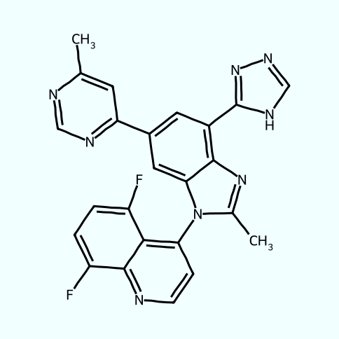 Cc1cc(-c2cc(-c3nnc[nH]3)c3nc(C)n(-c4ccnc5c(F)ccc(F)c45)c3c2)ncn1